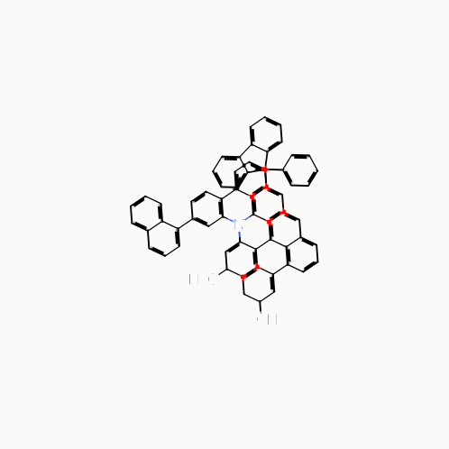 CC1C=C(c2cccc3cccc(C4=CCC(C)C=C4N(c4cccc(C5(c6ccccc6)c6ccccc6-c6ccccc65)c4)c4cc(-c5cccc6ccccc56)ccc4-c4ccccc4)c23)C=CC1